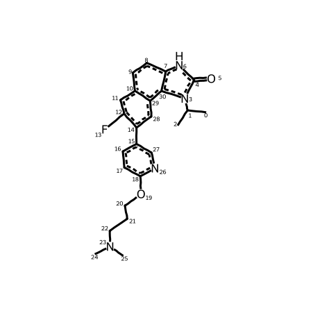 CC(C)n1c(=O)[nH]c2ccc3cc(F)c(-c4ccc(OCCCN(C)C)nc4)cc3c21